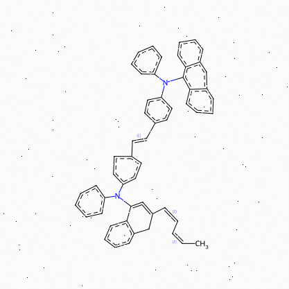 C/C=C\C=C/C1=C=C(N(c2ccccc2)c2ccc(/C=C/c3ccc(N(c4ccccc4)c4c5ccccc5cc5ccccc45)cc3)cc2)c2ccccc2C1